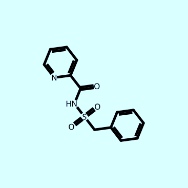 O=C(NS(=O)(=O)Cc1ccccc1)c1ccccn1